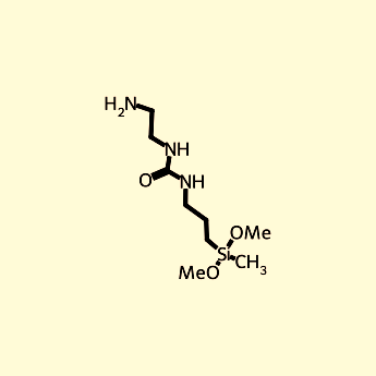 CO[Si](C)(CCCNC(=O)NCCN)OC